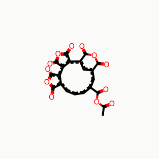 CC(=O)OC(=O)c1cccc2c(=O)oc(=O)c2c2c(=O)oc(=O)c2c2cc(c1)C(=O)OC2=O